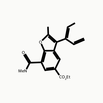 C=C/C(=C\C)c1c(C)oc2c(C(=O)NC)cc(C(=O)OCC)cc12